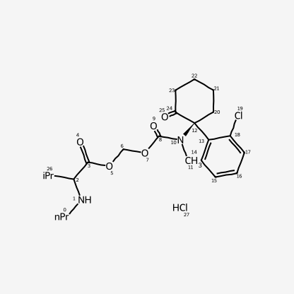 CCCNC(C(=O)OCOC(=O)N(C)[C@]1(c2ccccc2Cl)CCCCC1=O)C(C)C.Cl